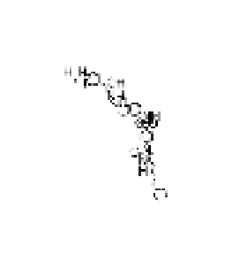 Nc1ccc(C(O)CNCC2CCc3cc(NS(=O)(=O)c4ccc(-n5cc(CCCCC6CCCCC6)[nH]c5=O)cc4)ccc3O2)cn1